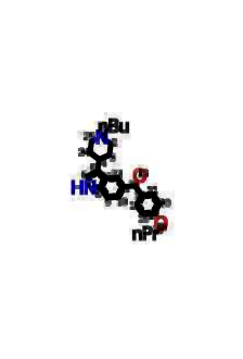 CCCCN1CCC(c2c[nH]c3ccc(C(=O)c4ccc(OCCC)cc4)cc23)CC1